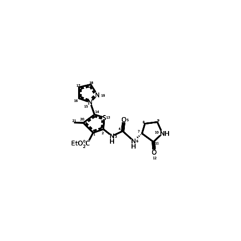 CCOC(=O)c1c(NC(=O)N[C@@H]2CCNC2=O)sc(-n2cccn2)c1C